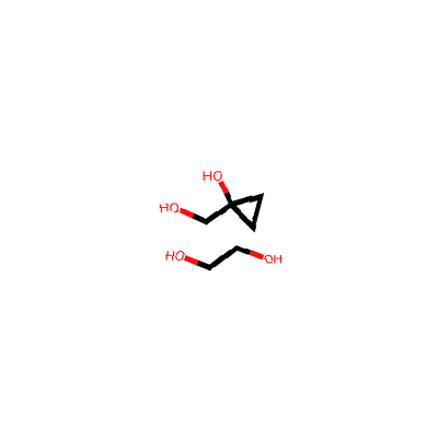 OCC1(O)CC1.OCCO